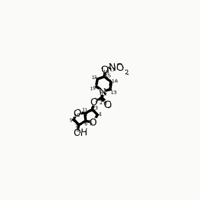 O=C(OC1COC2C(O)COC12)N1CCC(O[N+](=O)[O-])CC1